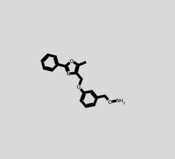 Cc1oc(-c2ccccc2)nc1COc1cccc(CON)c1